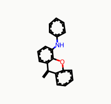 C=C1c2ccccc2Oc2c(Nc3ccccc3)cccc21